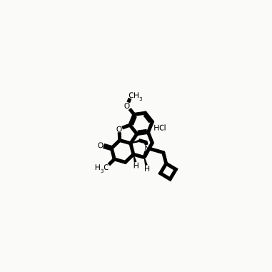 COc1ccc2c3c1OC1C(=O)C(C)C[C@H]4[C@@H](C2)N(CC2CCC2)CC[C@]314.Cl